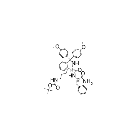 COc1ccc(C(N[C@@H](CCCCNC(=O)OC(C)(C)C)C(=O)N[C@@H](Cc2ccccc2)C(N)=O)(c2ccccc2)c2ccc(OC)cc2)cc1